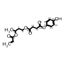 C=CC(=O)OC(C)CCOC(=O)CCC(=O)Oc1ccc(O)cc1